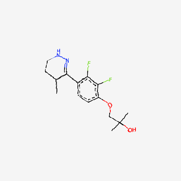 CC1CCNN=C1c1ccc(OCC(C)(C)O)c(F)c1F